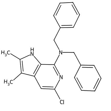 Cc1[nH]c2c(N(Cc3ccccc3)Cc3ccccc3)nc(Cl)cc2c1C